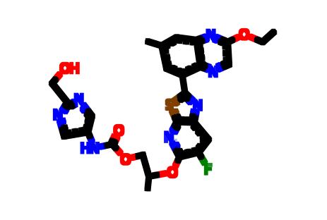 CCOc1cnc2c(-c3nc4cc(F)c(OC(C)COC(=O)Nc5cnc(CO)nc5)nc4s3)cc(C)cc2n1